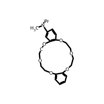 CC(C)N(C)c1ccc2c(c1)OCCOCCOc1ccccc1OCCOCCO2